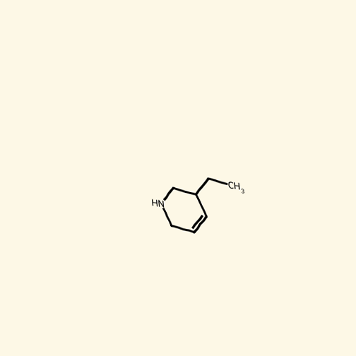 CCC1C=CCNC1